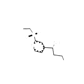 CCC[C@H](N)c1ccnc(S(=O)(=O)CC)c1